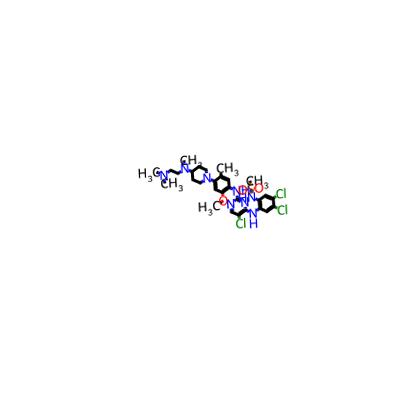 COc1cc(N2CCC(N(C)CCN(C)C)CC2)c(C)cc1Nc1ncc(Cl)c(Nc2cc(Cl)c(Cl)cc2NS(C)(=O)=O)n1